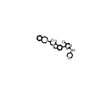 O=C(CN1Cc2ccc(-c3nc(NC4CCOCC4)ncc3Cl)cc2C1=O)N1CCc2ccccc2CC1